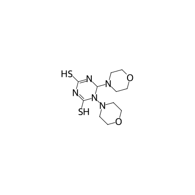 SC1=NC(N2CCOCC2)N(N2CCOCC2)C(S)=N1